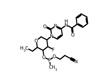 CCC1OCC(n2ccc(NC(=O)c3ccccc3)nc2=O)C(F)C1OP(C)OCCC#N